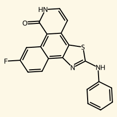 O=c1[nH]ccc2c3sc(Nc4ccccc4)nc3c3ccc(F)cc3c12